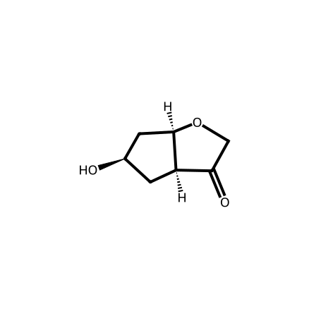 O=C1CO[C@@H]2C[C@H](O)C[C@H]12